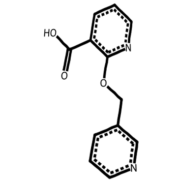 O=C(O)c1cccnc1OCc1cccnc1